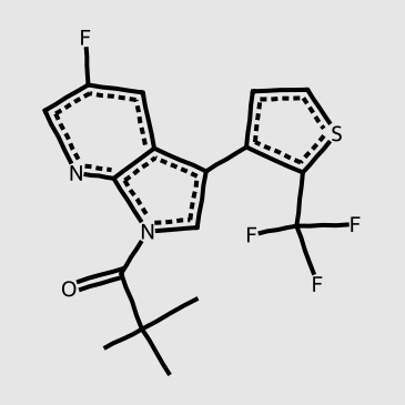 CC(C)(C)C(=O)n1cc(-c2ccsc2C(F)(F)F)c2cc(F)cnc21